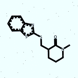 CN1CCCC(CSc2nc3ccccc3s2)C1=O